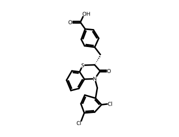 O=C(O)c1ccc(C[C@H]2Sc3ccccc3N(Cc3ccc(Cl)cc3Cl)C2=O)cc1